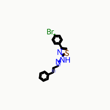 Brc1ccc(-c2csc(N/N=C/C=C/c3ccccc3)n2)cc1